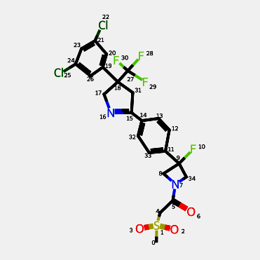 CS(=O)(=O)CC(=O)N1CC(F)(c2ccc(C3=NCC(c4cc(Cl)cc(Cl)c4)(C(F)(F)F)C3)cc2)C1